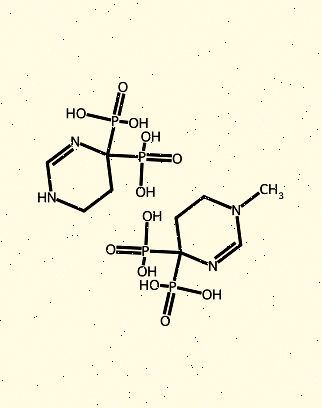 CN1C=NC(P(=O)(O)O)(P(=O)(O)O)CC1.O=P(O)(O)C1(P(=O)(O)O)CCNC=N1